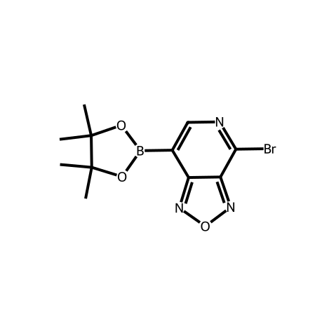 CC1(C)OB(c2cnc(Br)c3nonc23)OC1(C)C